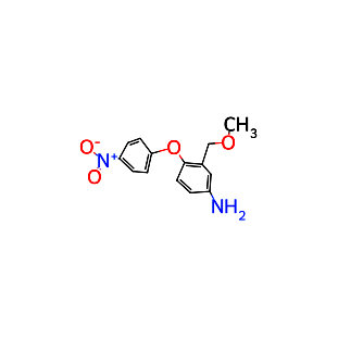 COCc1cc(N)ccc1Oc1ccc([N+](=O)[O-])cc1